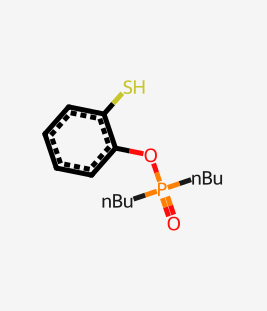 CCCCP(=O)(CCCC)Oc1ccccc1S